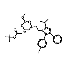 COB1O[C@H](CCn2c(C(C)C)cc(-c3ccccc3)c2-c2ccc(F)cc2)C[C@H](CC(=O)OC(C)(C)C)O1